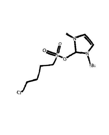 CCCCN1C=CN(C)C1OS(=O)(=O)CCCCCl